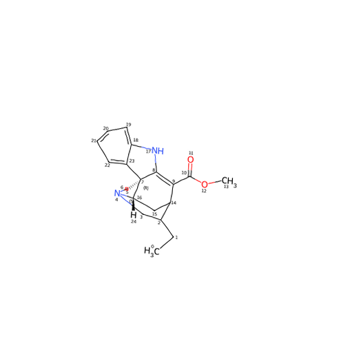 CCC1CN2CC[C@]34C(=C(C(=O)OC)C1C[C@H]23)Nc1ccccc14